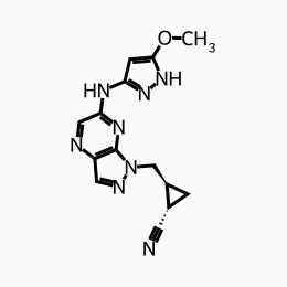 COc1cc(Nc2cnc3cnn(C[C@H]4C[C@@H]4C#N)c3n2)n[nH]1